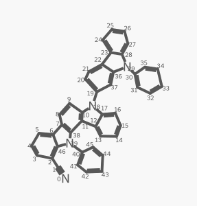 N#Cc1cccc2c3ccc4c(c5ccccc5n4-c4ccc5c6ccccc6n(-c6ccccc6)c5c4)c3n(-c3ccccc3)c12